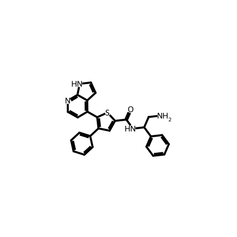 NCC(NC(=O)c1cc(-c2ccccc2)c(-c2ccnc3[nH]ccc23)s1)c1ccccc1